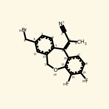 C/C(C#N)=C1/c2ccc(CBr)cc2COc2c1ccc(F)c2F